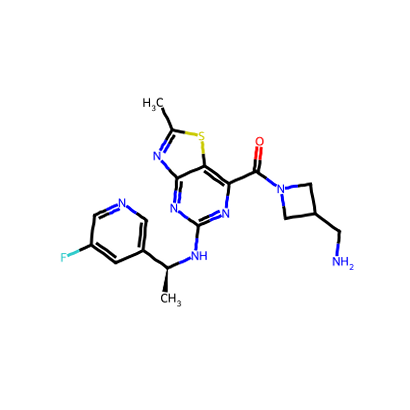 Cc1nc2nc(N[C@@H](C)c3cncc(F)c3)nc(C(=O)N3CC(CN)C3)c2s1